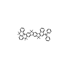 CC1(C)c2cc3c(cc2-c2cc4c(cc21)N1c2ccccc2C(C)(C)c2cccc(c21)C4(C)C)C(C)(C)c1cc(N(c2ccccc2)c2ccccc2)c2ccccc2c1-3